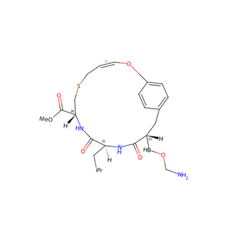 COC(=O)[C@@H]1CSC/C=C\Oc2ccc(cc2)C[C@H](BOCN)C(=O)N[C@@H](CC(C)C)C(=O)N1